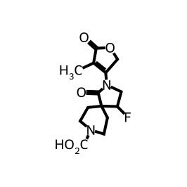 CC1=C(N2CC(F)C3(CCN(C(=O)O)CC3)C2=O)COC1=O